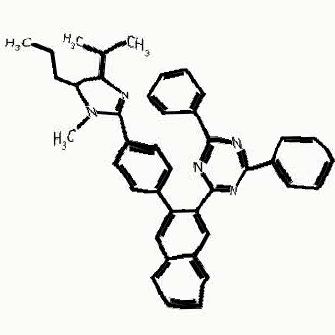 CCCC1C(C(C)C)N=C(c2ccc(-c3cc4ccccc4cc3-c3nc(-c4ccccc4)nc(-c4ccccc4)n3)cc2)N1C